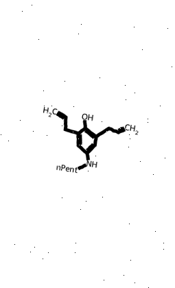 C=CCc1cc(NCCCCC)cc(CC=C)c1O